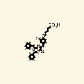 O=C(O)CCCCCOc1ccc(/C=C2\N=C3C(Cc4ccccc4)=NC(c4ccccc4)=CN3C2=O)cc1Cl